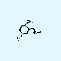 CN1CCN(C)C(CNC(C)(C)C)C1